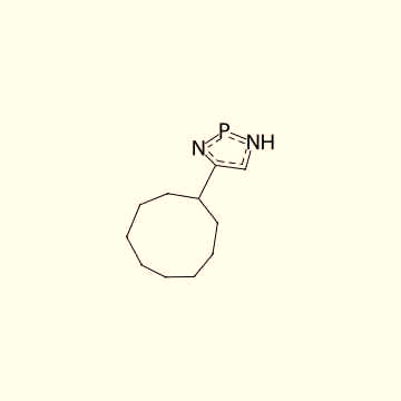 c1[nH]pnc1C1CCCCCCCC1